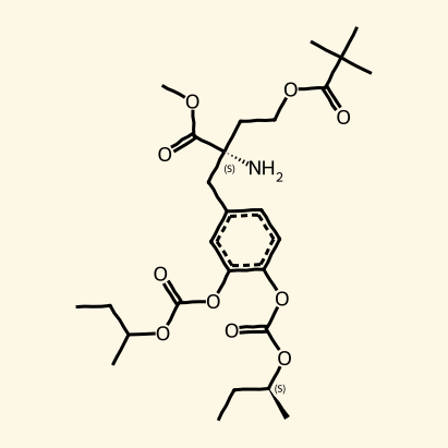 CCC(C)OC(=O)Oc1cc(C[C@](N)(CCOC(=O)C(C)(C)C)C(=O)OC)ccc1OC(=O)O[C@@H](C)CC